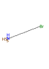 S=C(S)NCCCCCCCCCCCCCCCCCCCCCCCCCCCCCCCCCCBr